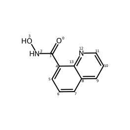 O=C(NO)c1cccc2cccnc12